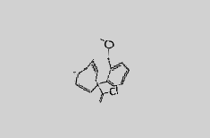 C=C(Cl)C1(c2ccccc2COC)C=C[CH]C=C1